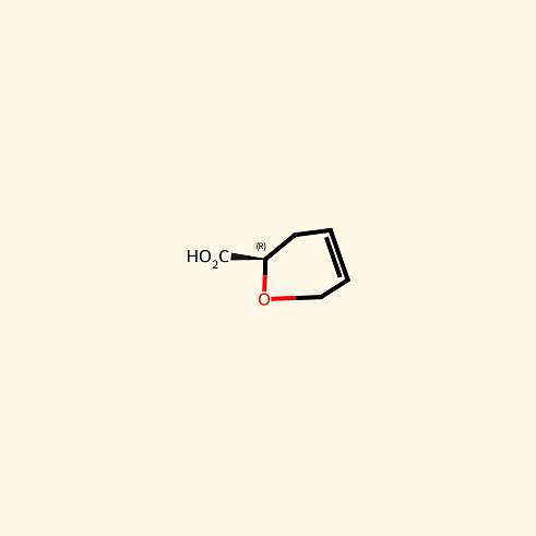 O=C(O)[C@H]1CC=CCO1